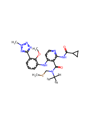 [2H]C([2H])([2H])N(CSC)C(=O)c1c(Nc2cccc(-c3nnn(C)n3)c2OC)ccnc1NC(=O)C1CC1